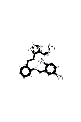 C/N=C\c1[nH]nnc1CCc1ccccc1OCc1cc(C(F)(F)F)ccc1C(F)(F)F